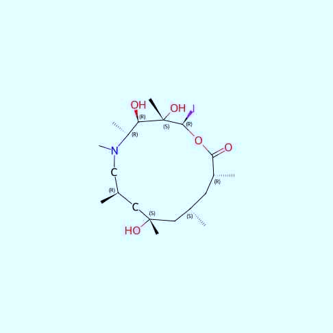 C[C@H]1C[C@@H](C)C(=O)O[C@H](I)[C@@](C)(O)[C@H](O)[C@@H](C)N(C)C[C@H](C)C[C@@](C)(O)C1